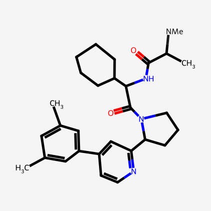 CNC(C)C(=O)NC(C(=O)N1CCCC1c1cc(-c2cc(C)cc(C)c2)ccn1)C1CCCCC1